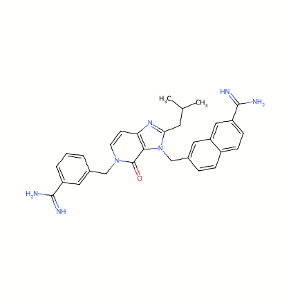 CC(C)Cc1nc2ccn(Cc3cccc(C(=N)N)c3)c(=O)c2n1Cc1ccc2ccc(C(=N)N)cc2c1